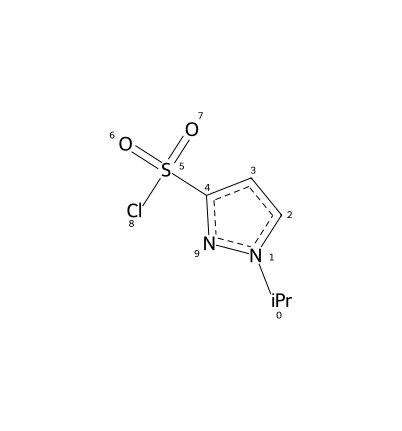 CC(C)n1ccc(S(=O)(=O)Cl)n1